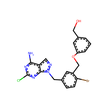 Nc1nc(Cl)nc2c1cnn2Cc1ccc(Br)c(COc2cccc(CO)c2)c1